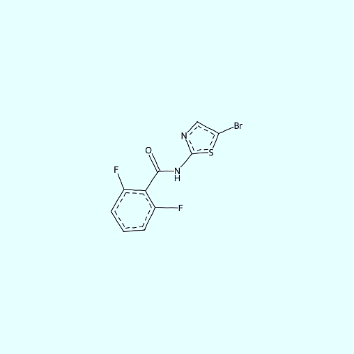 O=C(Nc1ncc(Br)s1)c1c(F)cccc1F